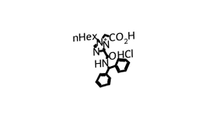 CCCCCC[N+]1(CC(=O)O)C=NC(C(=O)NC(c2ccccc2)c2ccccc2)=N1.Cl